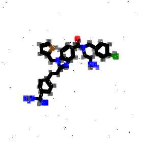 N=C(N)c1ccc(CCc2nc3cc(C(=O)N(CCN)Cc4ccc(Cl)cc4)ccc3n2Cc2cccs2)cc1